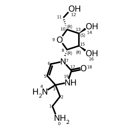 NCCC1(N)C=CN([C@@H]2O[C@H](CO)[C@@H](O)[C@H]2O)C(=O)N1